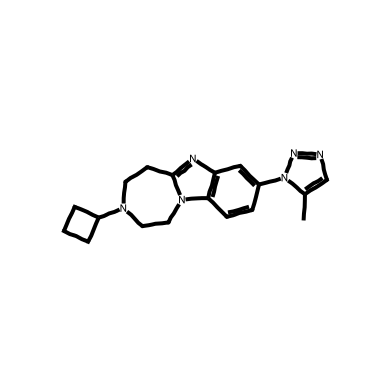 Cc1cnnn1-c1ccc2c(c1)nc1n2CCN(C2CCC2)CC1